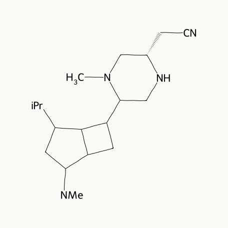 CNC1CC(C(C)C)C2C1CC2C1CN[C@@H](CC#N)CN1C